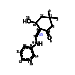 CC1(C)CC(=O)/C(=C\Nc2cccnc2)C(O)C1